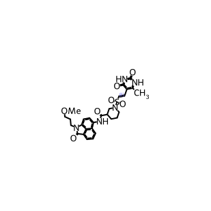 COCCCN1C(=O)c2cccc3c(NC(=O)C4CCCN(S(=O)(=O)/C=C/c5c(C)[nH]c(=O)[nH]c5=O)C4)ccc1c23